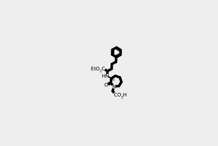 CCOC(=O)C(CCCc1ccccc1)N[C@H]1CCCCN(CC(=O)O)C1=O